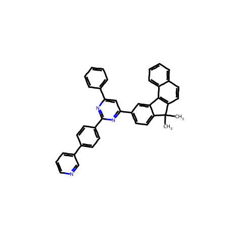 CC1(C)c2ccc(-c3cc(-c4ccccc4)nc(-c4ccc(-c5cccnc5)cc4)n3)cc2-c2c1ccc1ccccc21